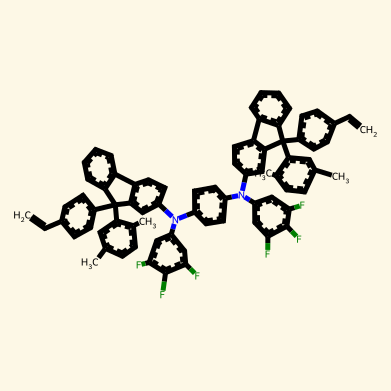 C=Cc1ccc(C2(c3cc(C)ccc3C)c3ccccc3-c3ccc(N(c4ccc(N(c5cc(F)c(F)c(F)c5)c5ccc6c(c5)C(c5ccc(C=C)cc5)(c5cc(C)ccc5C)c5ccccc5-6)cc4)c4cc(F)c(F)c(F)c4)cc32)cc1